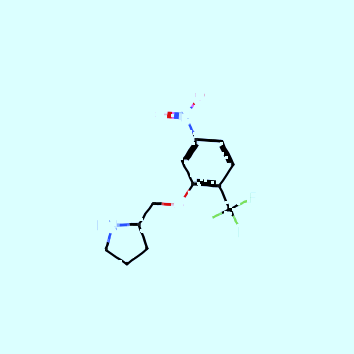 O=[N+]([O-])c1ccc(C(F)(F)F)c(OCC2CCCN2)c1